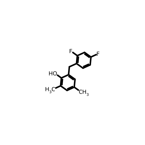 Cc1cc(C)c(O)c(Cc2ccc(F)cc2F)c1